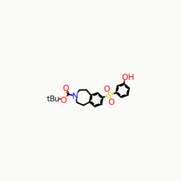 CC(C)(C)OC(=O)N1CCc2ccc(S(=O)(=O)c3cccc(O)c3)cc2CC1